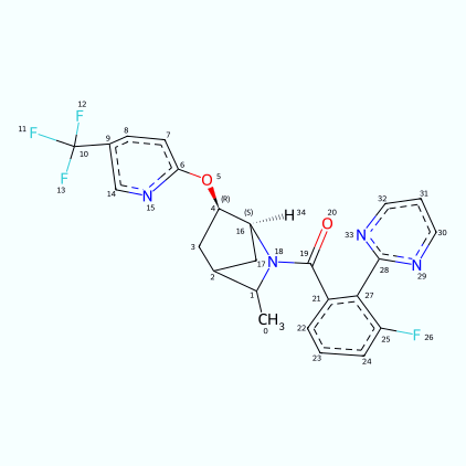 CC1C2C[C@@H](Oc3ccc(C(F)(F)F)cn3)[C@H](C2)N1C(=O)c1cccc(F)c1-c1ncccn1